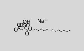 CCCCCCCCCCCCCCOC(=O)C(CC(=O)[O-])S(=O)(=O)O.[Na+]